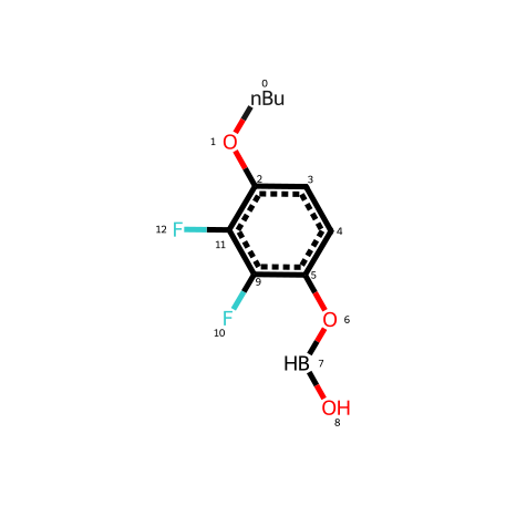 CCCCOc1ccc(OBO)c(F)c1F